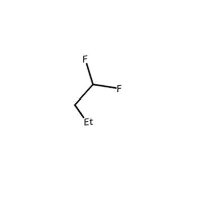 [CH2]CCC(F)F